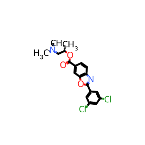 C[C@H](CN(C)C)OC(=O)c1ccc2nc(-c3cc(Cl)cc(Cl)c3)oc2c1